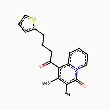 CSc1c(C#N)c(=O)n2ccccc2c1C(=O)CCCc1cccs1